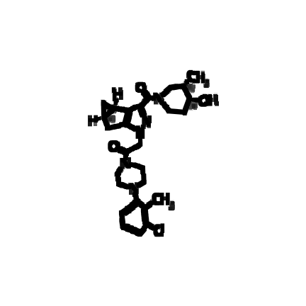 Cc1c(Cl)cccc1N1CCN(C(=O)Cn2nc(C(=O)N3CC[C@H](O)[C@@H](C)C3)c3c2C[C@H]2C[C@@H]32)CC1